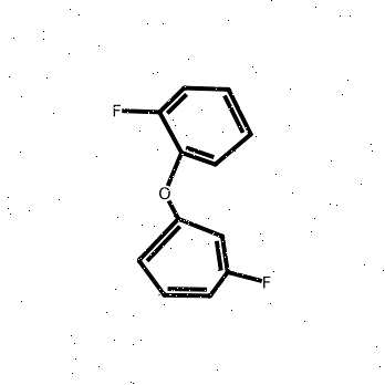 Fc1c[c]cc(Oc2ccccc2F)c1